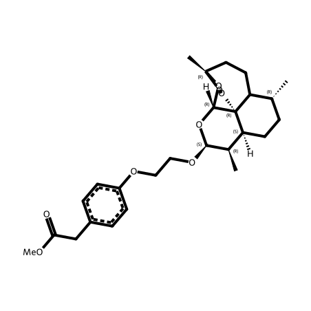 COC(=O)Cc1ccc(OCCO[C@H]2O[C@@H]3O[C@@]4(C)CCC5[C@H](C)CC[C@@H]([C@H]2C)[C@]53OO4)cc1